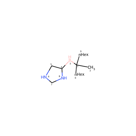 CCCCCCC(C)(BC1CNCN1)CCCCCC